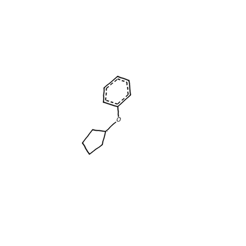 c1ccc(O[C]2CCCC2)cc1